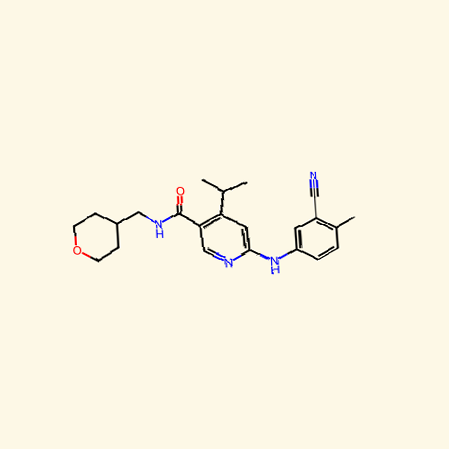 Cc1ccc(Nc2cc(C(C)C)c(C(=O)NCC3CCOCC3)cn2)cc1C#N